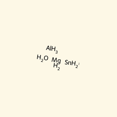 O.[AlH3].[MgH2].[SnH2]